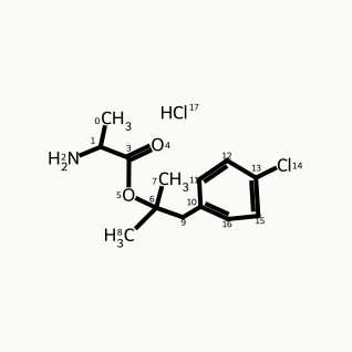 CC(N)C(=O)OC(C)(C)Cc1ccc(Cl)cc1.Cl